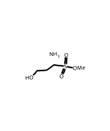 COS(=O)(=O)CCCO.N